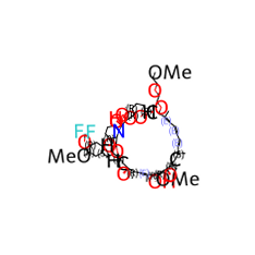 COCCOCCOC1C[C@@H]2CC[C@@H](C)[C@@](O)(O2)C(=O)C(=O)N2CCC[C@@H]3C(C[C@@H]4CC[C@@H](OC(F)F)[C@H](OC)C4)[C@H](CC(=O)[C@H](C)/C=C(\C)[C@@H](O)[C@@H](OC)C(=O)[C@H](C)C[C@H](C)/C=C/C=C/C=C/1C)OC(=O)C32